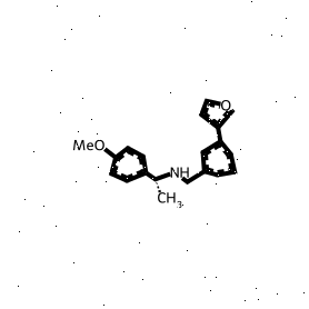 COc1ccc([C@@H](C)NCc2cccc(-c3ccoc3)c2)cc1